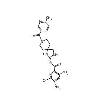 Cc1ccc(C(=O)N2CCC3(CC2)CN/C(=N\C(=O)c2nc(Cl)c(N)nc2N)N3)cn1